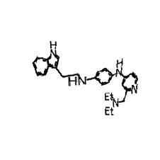 CCN(CC)Cc1cc(Nc2ccc(NCCc3c[nH]c4ccccc34)cc2)ccn1